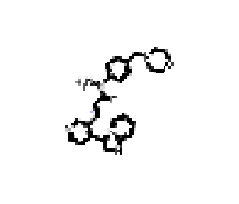 NN(C(=O)/C=C/c1cnccc1-c1cnc2ccccn12)c1ccc(CN2CCOCC2)cc1